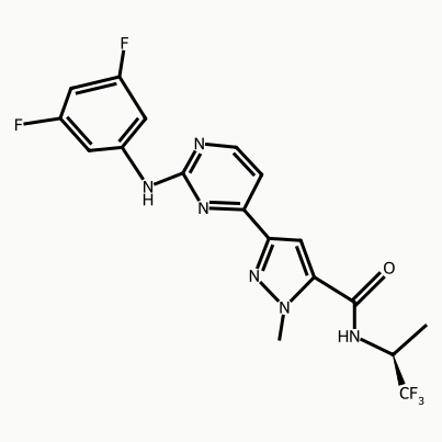 C[C@H](NC(=O)c1cc(-c2ccnc(Nc3cc(F)cc(F)c3)n2)nn1C)C(F)(F)F